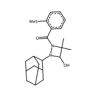 CSc1ccccc1C(=O)N1N(C2C3CC4CC(C3)CC2C4)C(O)C1(C)C